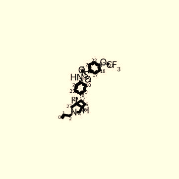 C=CCN1C[C@@H]2C[C@@H](c3ccc(NS(=O)(=O)c4ccc(OC(F)(F)F)cc4)cc3)[C@@H]2C1